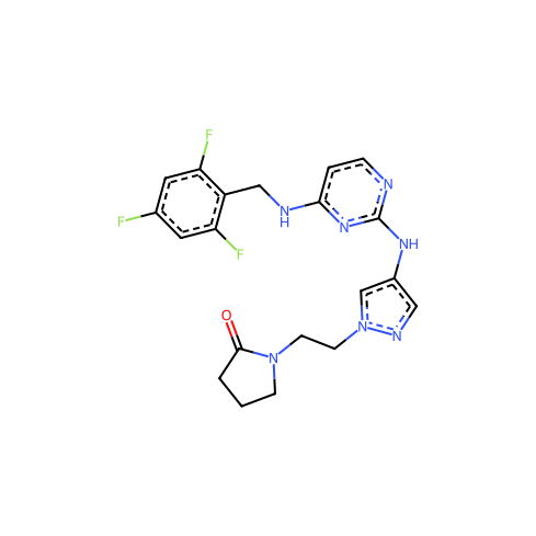 O=C1CCCN1CCn1cc(Nc2nccc(NCc3c(F)cc(F)cc3F)n2)cn1